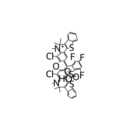 CN1c2c(cc3c(c2Cl)Oc2c(Cl)c4c(cc2=C3c2c(F)c(F)cc(F)c2S(=O)(=O)O)-c2sc3ccccc3c2C(C)(C)[N+]=4C)-c2sc3ccccc3c2C1(C)C